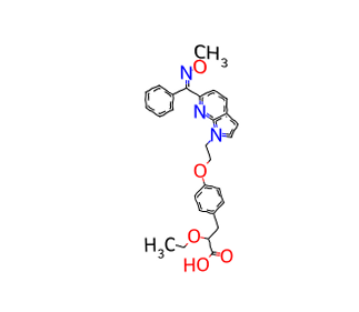 CCOC(Cc1ccc(OCCn2ccc3ccc(/C(=N\OC)c4ccccc4)nc32)cc1)C(=O)O